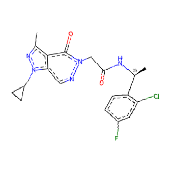 Cc1nn(C2CC2)c2cnn(CC(=O)N[C@@H](C)c3ccc(F)cc3Cl)c(=O)c12